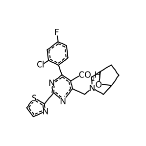 O=C(O)c1c(CN2CC3CCC(C2)O3)nc(-c2nccs2)nc1-c1ccc(F)cc1Cl